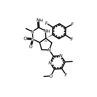 COc1nc(N2CC3[C@](c4cc(F)c(F)cc4F)(C2)NC(=N)N(C)S3(=O)=O)nc(C)c1F